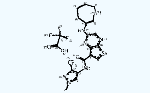 Cn1cc(NC(=O)c2csc3ncc(NC4CCCCNC4)nc23)c(C(F)(F)F)n1.O=C(O)C(F)(F)F